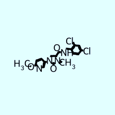 COc1ccc(N2CC(C(=O)NCc3ccc(Cl)cc3Cl)N(C)C2=O)cn1